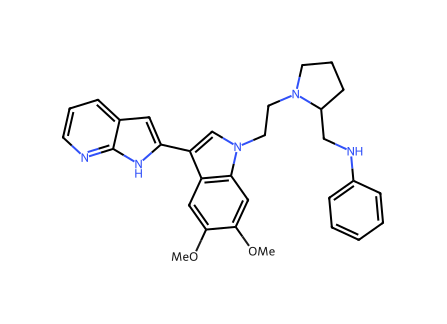 COc1cc2c(-c3cc4cccnc4[nH]3)cn(CCN3CCCC3CNc3ccccc3)c2cc1OC